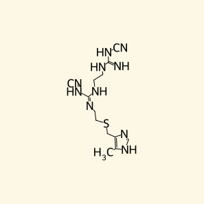 Cc1[nH]cnc1CSCC/N=C(/NC#N)NCCNC(=N)NC#N